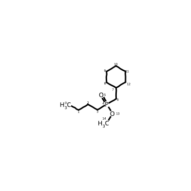 CCCCP(=O)(CC1CCCCC1)OC